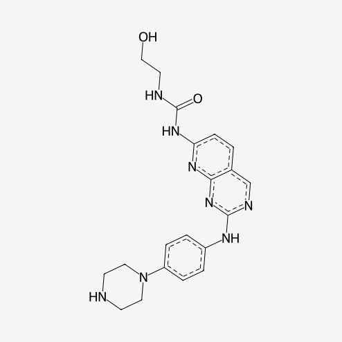 O=C(NCCO)Nc1ccc2cnc(Nc3ccc(N4CCNCC4)cc3)nc2n1